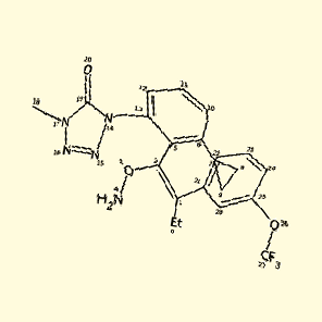 CC/C(=C(\ON)c1c(C2CC2)cccc1-n1nnn(C)c1=O)c1cccc(OC(F)(F)F)c1